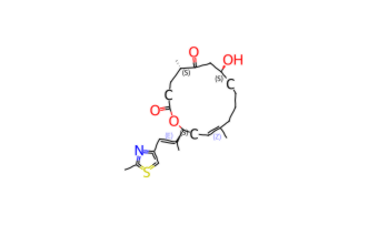 C/C1=C/C[C@@H](/C(C)=C/c2csc(C)n2)OC(=O)CC[C@H](C)C(=O)C[C@@H](O)CCCC1